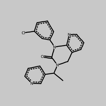 CC(c1cccnc1)N1Cc2cccnc2N(c2cccc(Cl)c2)C1=O